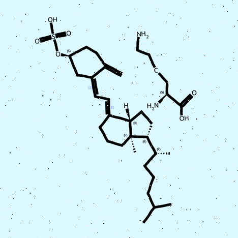 C=C1CC[C@H](OS(=O)(=O)O)C/C1=C/C=C1\CCC[C@]2(C)[C@@H]([C@H](C)CCCC(C)C)CC[C@@H]12.NCCCC[C@H](N)C(=O)O